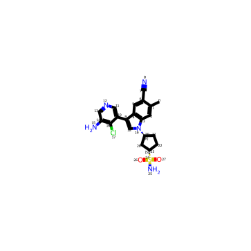 Cc1cc2c(cc1C#N)c(-c1cncc(N)c1Cl)cn2[C@@H]1CC[C@H](S(N)(=O)=O)C1